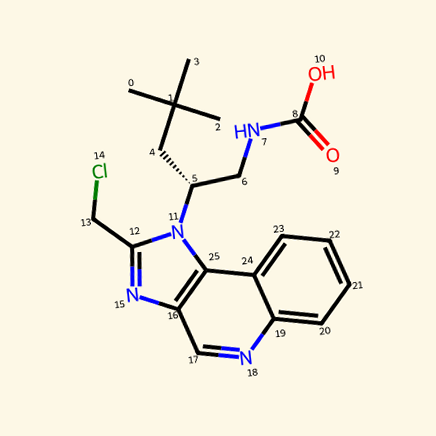 CC(C)(C)C[C@H](CNC(=O)O)n1c(CCl)nc2cnc3ccccc3c21